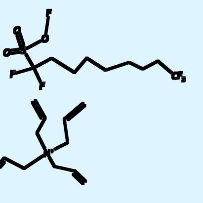 C=CC[N+](CC=C)(CC=C)CC=C.O=S(=O)(OF)C(F)(F)CCCCCCCC(F)(F)F